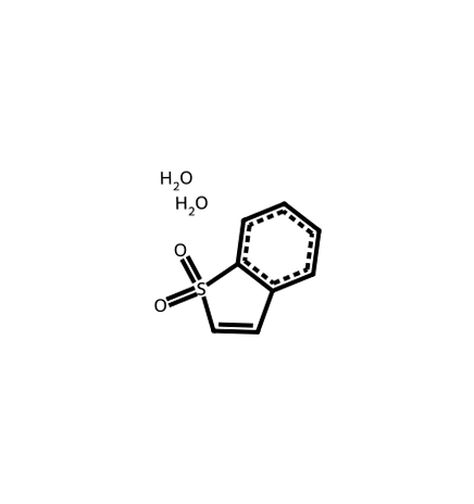 O.O.O=S1(=O)C=Cc2ccccc21